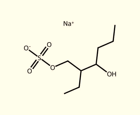 CCCC(O)C(CC)COS(=O)(=O)[O-].[Na+]